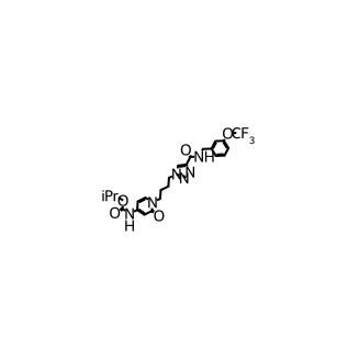 CC(C)OC(=O)Nc1ccn(CCCCn2cc(C(=O)NCc3cccc(OC(F)(F)F)c3)nn2)c(=O)c1